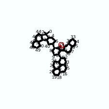 CC1(C)c2ccc(-c3ccc(-c4ccc5ccc6cccc7ccc4c5c67)c4c3oc3c5ccccc5ccc34)cc2-c2c1ccc1ccccc21